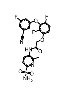 Cc1nc(S(N)(=O)=O)ccc1NC(=O)COc1ccc(F)c(Oc2cc(F)cc(C#N)c2)c1F